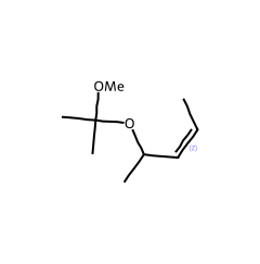 C/C=C\C(C)OC(C)(C)OC